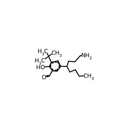 CCCCC(CCCN)c1cc(C=O)c(O)c(C(C)(C)C)c1